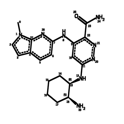 Cn1ccc2ccc(Nc3cc(N[C@@H]4CCCC[C@@H]4N)nnc3C(N)=O)nc21